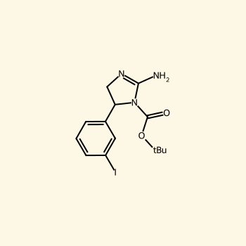 CC(C)(C)OC(=O)N1C(N)=NCC1c1cccc(I)c1